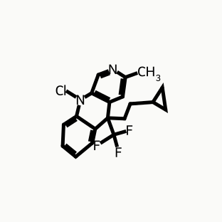 Cc1cc2c(cn1)N(Cl)c1ccccc1C2(CCC1CC1)C(F)(F)F